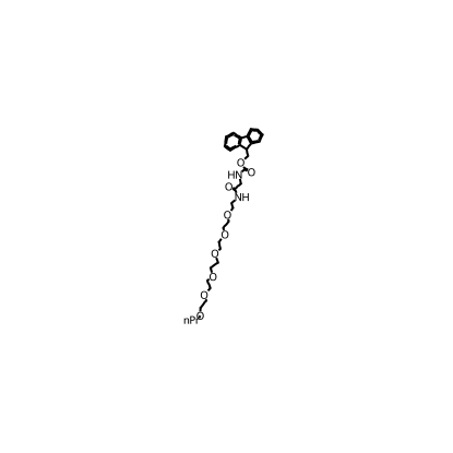 CCCOCCOCCOCCOCCOCCOCCNC(=O)CNC(=O)OCC1c2ccccc2-c2ccccc21